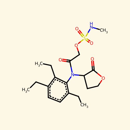 CCc1ccc(CC)c(N(C(=O)COS(=O)(=O)NC)C2CCOC2=O)c1CC